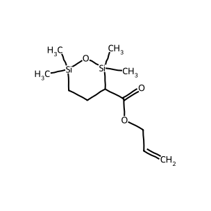 C=CCOC(=O)C1CC[Si](C)(C)O[Si]1(C)C